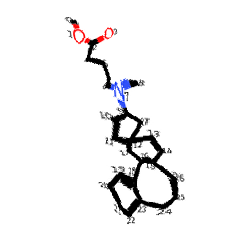 COC(=O)CCCN(C)C1CCC2(C=CC3=C(C2)c2ccccc2CC=C3)C1